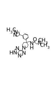 CN(C)CC(=O)NCC1(c2cccc(-c3cnn(C)c3)c2)CCN(c2ncnc3[nH]cnc23)CC1